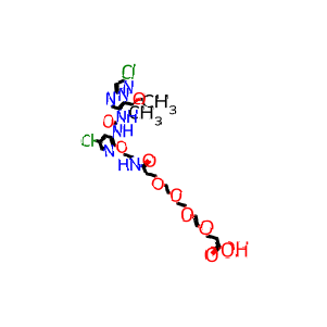 CO[C@@H](C)c1c(NC(=O)Nc2cc(Cl)cnc2OCCNC(=O)CCOCCOCCOCCOCCC(=O)O)cnc2cc(Cl)nn12